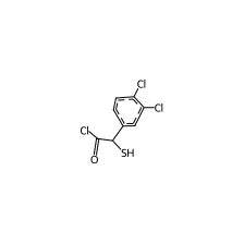 O=C(Cl)C(S)c1ccc(Cl)c(Cl)c1